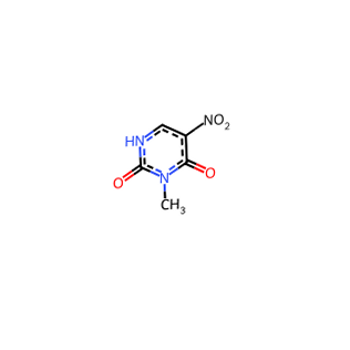 Cn1c(=O)[nH]cc([N+](=O)[O-])c1=O